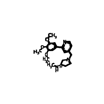 CN[C@H]1CCN(Cc2ccnc(-c3cc(OC)c(OC)c(OC)c3)c2)C1